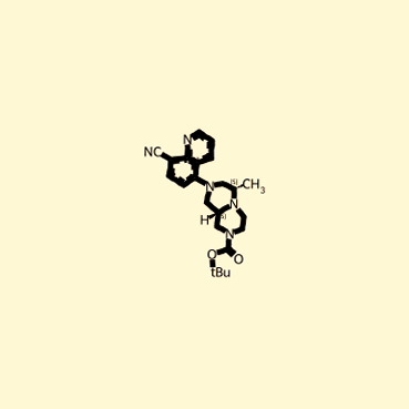 C[C@H]1CN(c2ccc(C#N)c3ncccc23)C[C@H]2CN(C(=O)OC(C)(C)C)CCN21